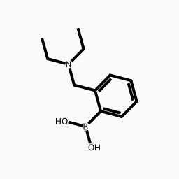 CCN(CC)Cc1ccccc1B(O)O